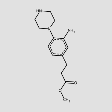 COC(=O)CCc1ccc(N2CCNCC2)c(N)c1